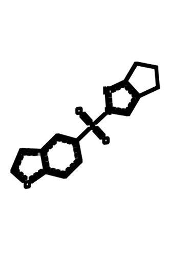 O=S(=O)(c1ccc2occc2c1)n1cc2c(n1)CCC2